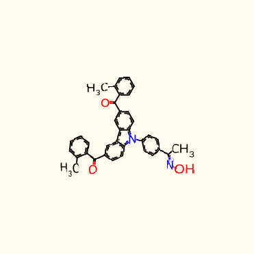 C/C(=N\O)c1ccc(-n2c3ccc(C(=O)c4ccccc4C)cc3c3cc(C(=O)c4ccccc4C)ccc32)cc1